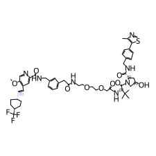 COc1cnc(C(=O)NCc2cccc(CC(=O)NCCOCCOCC(=O)N[C@H](C(=O)N3C[C@H](O)C[C@H]3C(=O)NCc3ccc(-c4scnc4C)cc3)C(C)(C)C)c2)cc1/C=C/[C@H]1CC[C@H](C(F)(F)F)CC1